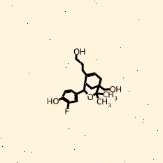 CC1(C)OC(c2ccc(O)c(F)c2)C2CC1(CO)CC=C2CCCO